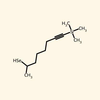 CC([SeH])CCCCC#C[Si](C)(C)C